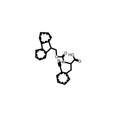 N#Cc1ccccc1CC(NC(=O)OCC1c2ccccc2-c2ccccc21)C(=O)O